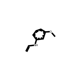 C=CNc1cccc(OC)c1